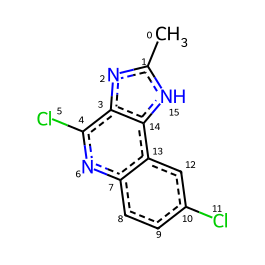 Cc1nc2c(Cl)nc3ccc(Cl)cc3c2[nH]1